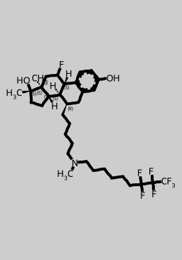 CN(CCCCCCC(F)(F)C(F)(F)C(F)(F)F)CCCCC[C@@H]1Cc2cc(O)ccc2[C@H]2C(F)C[C@@]3(C)[C@@H](CC[C@]3(C)O)[C@H]12